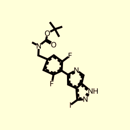 CN(Cc1cc(F)c(-c2cc3c(I)n[nH]c3cn2)c(F)c1)C(=O)OC(C)(C)C